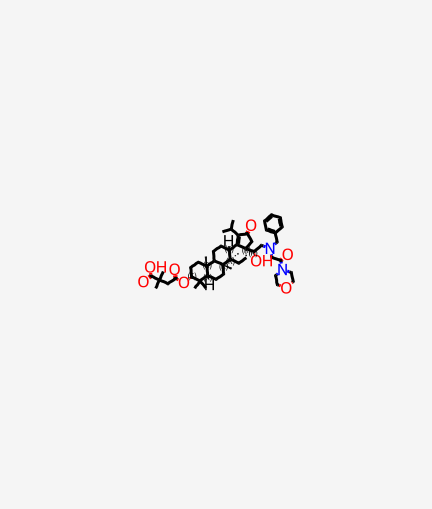 CC(C)C1=C2[C@H]3CCC4[C@@]5(C)CC[C@H](OC(=O)CC(C)(C)C(=O)O)C(C)(C)[C@@H]5CC[C@@]4(C)[C@]3(C)CC[C@@]2([C@@H](O)CN(CC(=O)N2CCOCC2)Cc2ccccc2)CC1=O